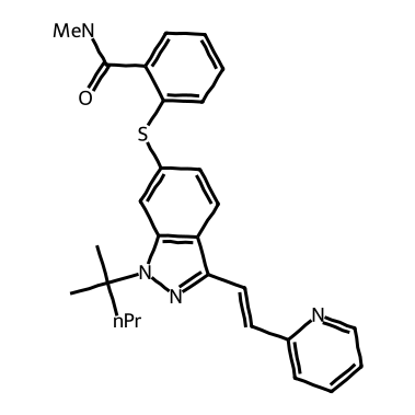 CCCC(C)(C)n1nc(/C=C/c2ccccn2)c2ccc(Sc3ccccc3C(=O)NC)cc21